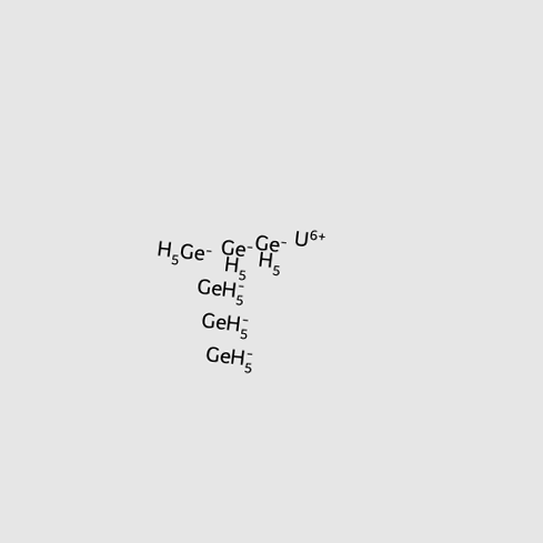 [GeH5-].[GeH5-].[GeH5-].[GeH5-].[GeH5-].[GeH5-].[U+6]